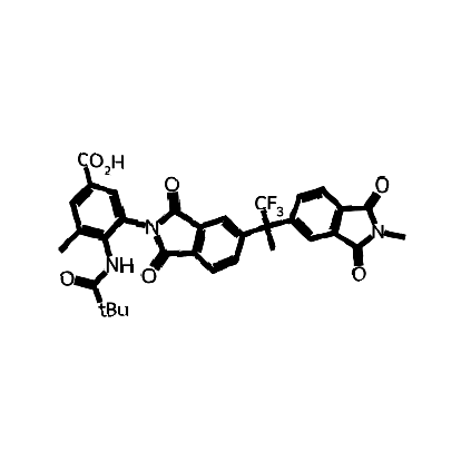 Cc1cc(C(=O)O)cc(N2C(=O)c3ccc(C(C)(c4ccc5c(c4)C(=O)N(C)C5=O)C(F)(F)F)cc3C2=O)c1NC(=O)C(C)(C)C